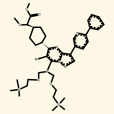 COC(=O)C(OC)[C@H]1CC[C@H](c2nc3c(-c4ccc(-c5ccccc5)nc4)cnn3c(N(COCC[Si](C)(C)C)COCC[Si](C)(C)C)c2Br)CC1